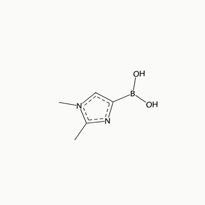 Cc1nc(B(O)O)cn1C